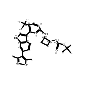 Cc1noc(C)c1-c1ccc2c(-c3nc(N[C@H]4CC[C@@H]4NC(=O)OC(C)(C)C)ncc3C(F)(F)F)c[nH]c2c1